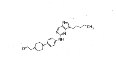 CCCCCn1cnc2cnc(Nc3ccc(N4CCN(CC=O)CC4)cc3)nc21